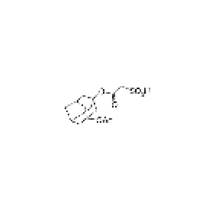 CC(=O)OC12CC3CC(C1)CC(OC(=O)CS(=O)(=O)O)(C3)C2